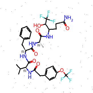 CC(C)[C@H](NC(=O)Cc1ccc(OC(F)(F)F)cc1)C(=O)N[C@@H](Cc1ccccc1)C(=O)N[C@@H](C)C(=O)NC(CCC(N)=O)C(O)C(F)(F)F